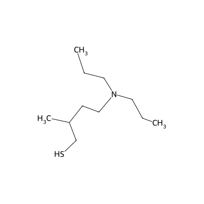 CCCN(CCC)CCC(C)CS